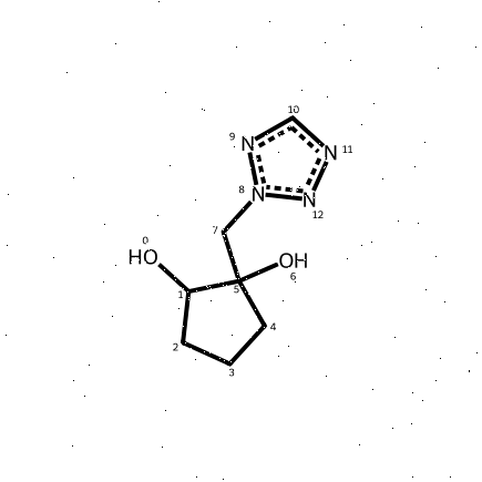 OC1CCCC1(O)Cn1ncnn1